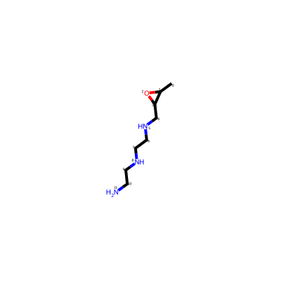 CC1OC1CNCCNCCN